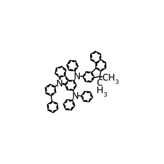 CC1(C)c2ccc(N(c3ccccc3)c3cc(N(c4ccccc4)c4ccccc4)cc4c3c3ccccc3n4-c3cccc(-c4ccccc4)c3)cc2-c2c1ccc1ccccc21